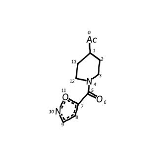 CC(=O)C1CCN(C(=O)c2ccno2)CC1